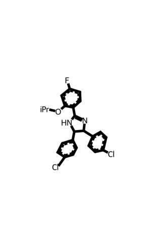 CC(C)Oc1cc(F)ccc1C1=NC(c2ccc(Cl)cc2)C(c2ccc(Cl)cc2)N1